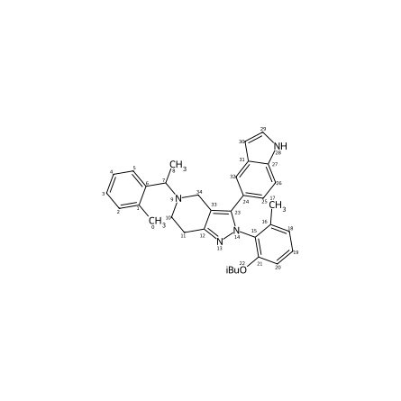 Cc1ccccc1C(C)N1CCc2nn(-c3c(C)cccc3OCC(C)C)c(-c3ccc4[nH]ccc4c3)c2C1